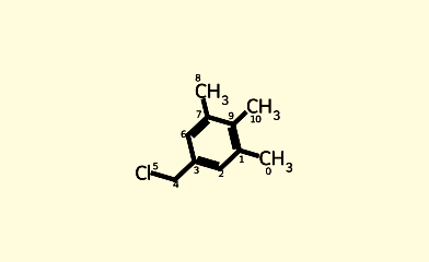 Cc1cc(CCl)cc(C)c1C